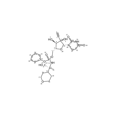 C#C[C@@]1(O)[C@H](O)[C@@H](COP(=O)(N[C@](C)(C(=O)O)C2CCOCC2)Oc2ccccc2)O[C@H]1n1ccc(=O)[nH]c1=O